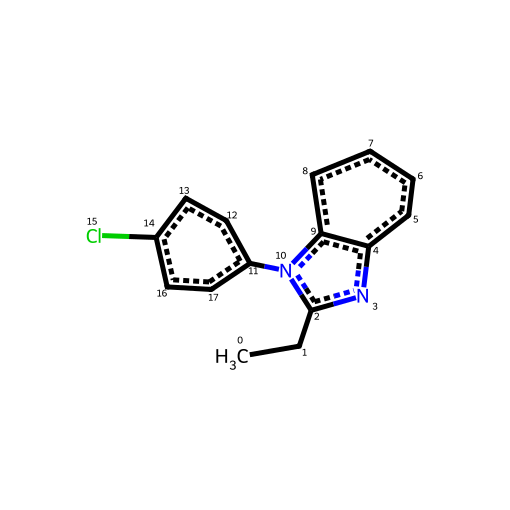 CCc1nc2ccccc2n1-c1ccc(Cl)cc1